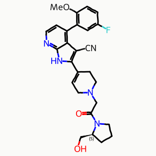 COc1ccc(F)cc1-c1ccnc2[nH]c(C3=CCN(CC(=O)N4CCC[C@H]4CO)CC3)c(C#N)c12